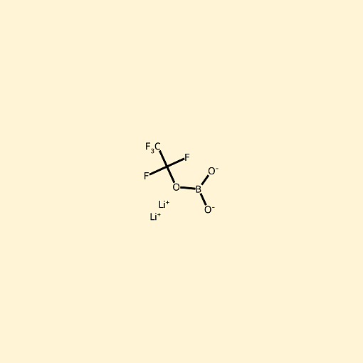 [Li+].[Li+].[O-]B([O-])OC(F)(F)C(F)(F)F